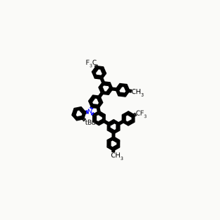 Cc1ccc(-c2cc(-c3ccc(C(F)(F)F)cc3)cc(-c3ccc4c(c3)c3cc(-c5cc(-c6ccc(C)cc6)cc(-c6ccc(C(F)(F)F)cc6)c5)ccc3n4-c3ccccc3C(C)(C)C)c2)cc1